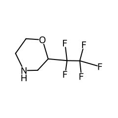 FC(F)(F)C(F)(F)C1CNCCO1